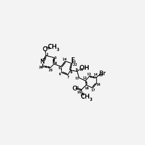 COc1cc(-c2ccc(C(O)Cc3cc(Br)ccc3C(C)=O)c(F)c2)ccn1